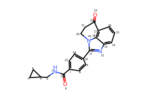 O=C(NCC1CC1)c1ccc(-c2nc3cccc4c3n2CCC4=O)cc1